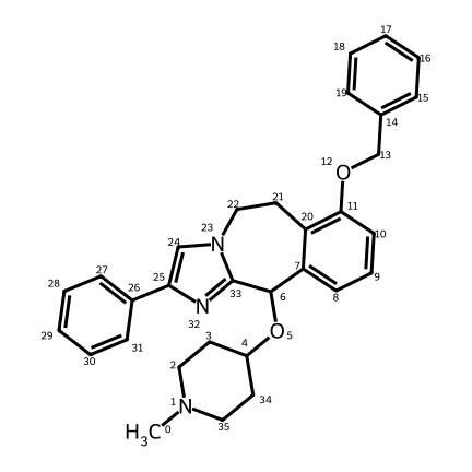 CN1CCC(OC2c3cccc(OCc4ccccc4)c3CCn3cc(-c4ccccc4)nc32)CC1